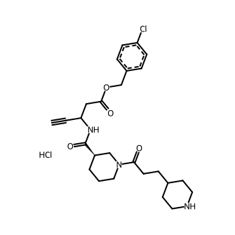 C#CC(CC(=O)OCc1ccc(Cl)cc1)NC(=O)[C@@H]1CCCN(C(=O)CCC2CCNCC2)C1.Cl